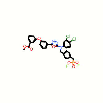 COC(=O)c1cccc(Oc2cccc(-c3nnc(N(Cc4ccc(CP(=O)(OF)OF)cc4)c4ccc(Cl)c(Cl)c4)o3)c2)c1